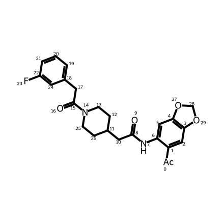 CC(=O)c1cc2c(cc1NC(=O)CC1CCN(C(=O)Cc3cccc(F)c3)CC1)OCO2